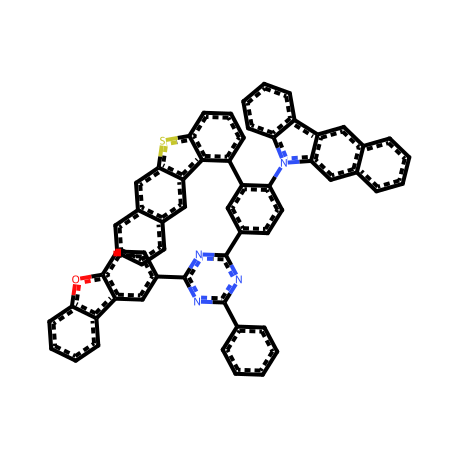 c1ccc(-c2nc(-c3ccc(-n4c5ccccc5c5cc6ccccc6cc54)c(-c4cccc5sc6cc7ccccc7cc6c45)c3)nc(-c3ccc4oc5ccccc5c4c3)n2)cc1